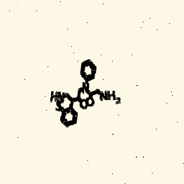 NCC(=O)N(CC(=O)C1CNSc2ccccc21)c1ccccc1